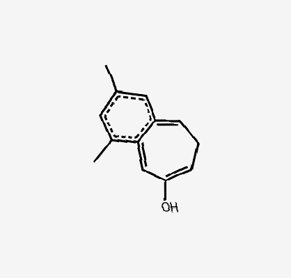 Cc1cc(C)c2c(c1)=CCC=C(O)C=2